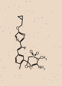 CN1C(N)=NC(C)(c2cc(C=C(F)c3cnc(OCC4CC4)cn3)ccc2F)CS1(=O)=O